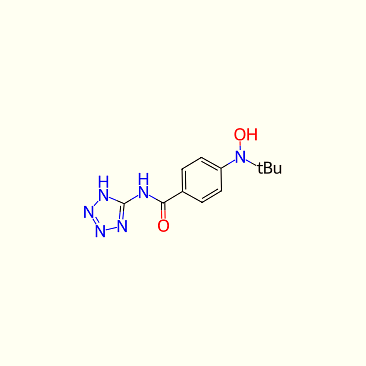 CC(C)(C)N(O)c1ccc(C(=O)Nc2nnn[nH]2)cc1